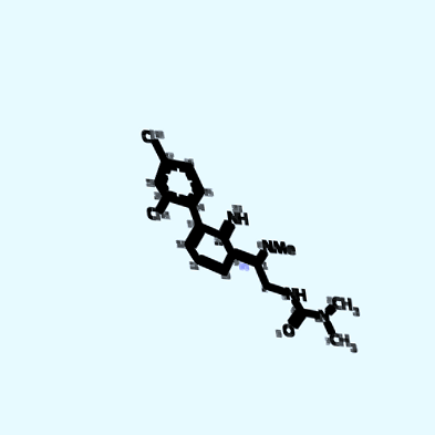 CN/C(CNC(=O)N(C)C)=C1/C=CC=C(c2ccc(Cl)cc2Cl)C1=N